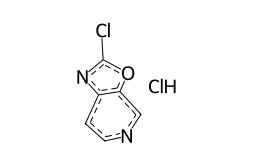 Cl.Clc1nc2ccncc2o1